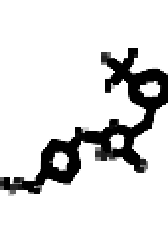 COc1ccc(/N=C2\NC(=O)C(Cc3cccc(C(F)(F)F)c3)S2)cc1